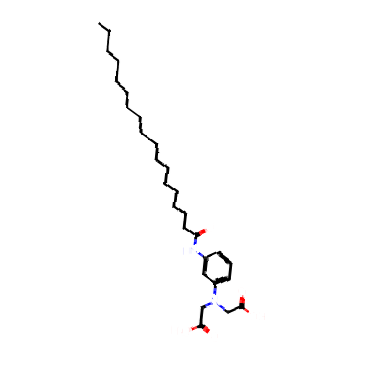 CCCCCCCCCCCCCCCCCC(=O)Nc1cccc(N(CC(=O)O)CC(=O)O)c1